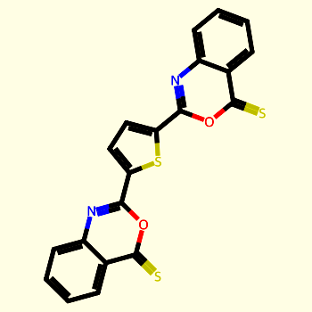 S=c1oc(-c2ccc(-c3nc4ccccc4c(=S)o3)s2)nc2ccccc12